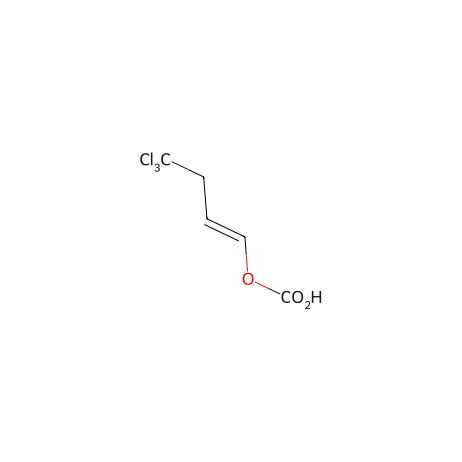 O=C(O)OC=CCC(Cl)(Cl)Cl